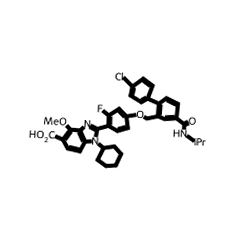 COc1c(C(=O)O)ccc2c1nc(-c1ccc(OCc3cc(C(=O)NC(C)C)ccc3-c3ccc(Cl)cc3)cc1F)n2C1CCCCC1